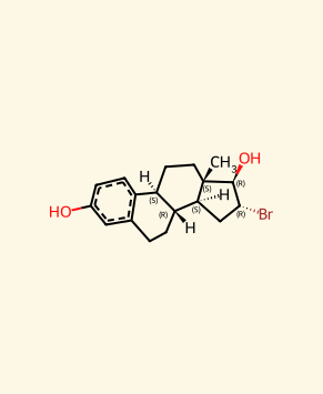 C[C@]12CC[C@@H]3c4ccc(O)cc4CC[C@H]3[C@@H]1C[C@@H](Br)[C@@H]2O